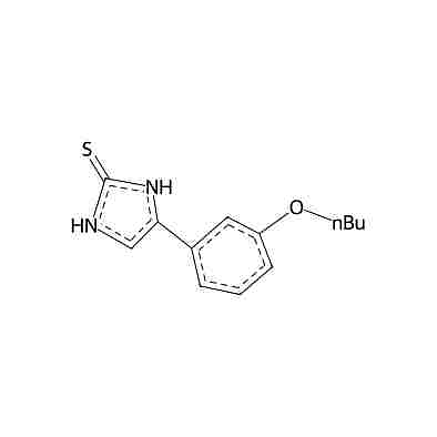 CCCCOc1cccc(-c2c[nH]c(=S)[nH]2)c1